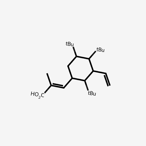 C=CC1C(C(C)(C)C)C(C=C(C)C(=O)O)CC(C(C)(C)C)C1C(C)(C)C